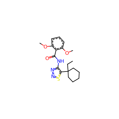 CCC1(c2snnc2NC(=O)c2c(OC)cccc2OC)CCCCC1